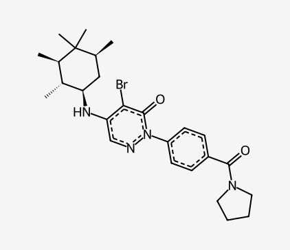 C[C@@H]1[C@@H](C)C(C)(C)[C@@H](C)C[C@H]1Nc1cnn(-c2ccc(C(=O)N3CCCC3)cc2)c(=O)c1Br